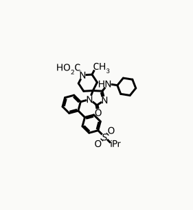 CC1CC2(CCN1C(=O)O)C(NC1CCCCC1)=NC(=O)N2c1ccccc1-c1ccc(S(=O)(=O)C(C)C)cc1